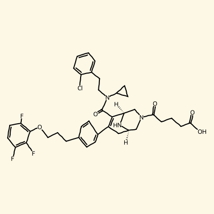 O=C(O)CCCC(=O)N1C[C@H]2CC(c3ccc(CCCOc4c(F)ccc(F)c4F)cc3)=C(C(=O)N(CCc3ccccc3Cl)C3CC3)[C@@H](C1)N2